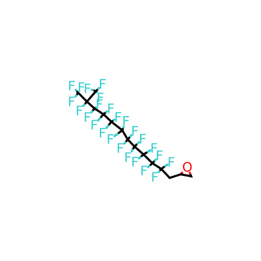 FC(F)(F)C(F)(C(F)(F)F)C(F)(F)C(F)(F)C(F)(F)C(F)(F)C(F)(F)C(F)(F)C(F)(F)C(F)(F)C(F)(F)CC1CO1